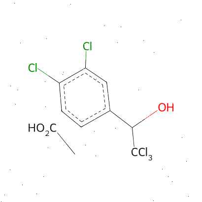 CC(=O)O.OC(c1ccc(Cl)c(Cl)c1)C(Cl)(Cl)Cl